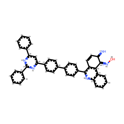 N=C1C=Cc2c(-c3ccc(-c4ccc(-c5cc(-c6ccccc6)nc(-c6ccccc6)n5)cc4)cc3)nc3ccccc3c2/C1=N/O